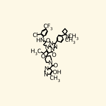 Cc1ncnc(C(=O)N2CCC3(CC2)OC(C)c2c3c(=O)n3nc(-c4ccc(C5(N(C)C)CCC5)cc4)nc3n2CC(=O)Nc2ccc(C(F)(F)F)cc2Cl)c1O